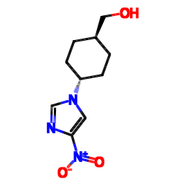 O=[N+]([O-])c1cn([C@H]2CC[C@H](CO)CC2)cn1